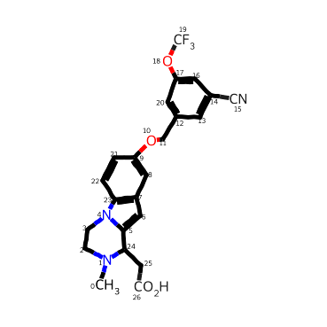 CN1CCn2c(cc3cc(OCc4cc(C#N)cc(OC(F)(F)F)c4)ccc32)C1CC(=O)O